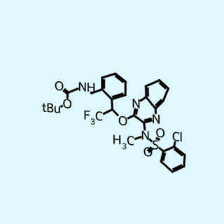 CN(c1nc2ccccc2nc1OC(c1ccccc1CNC(=O)OC(C)(C)C)C(F)(F)F)S(=O)(=O)c1ccccc1Cl